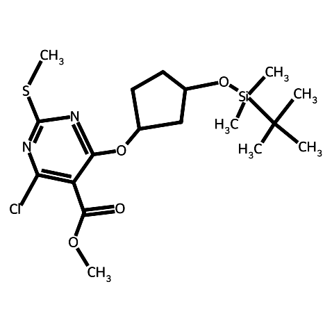 COC(=O)c1c(Cl)nc(SC)nc1OC1CCC(O[Si](C)(C)C(C)(C)C)C1